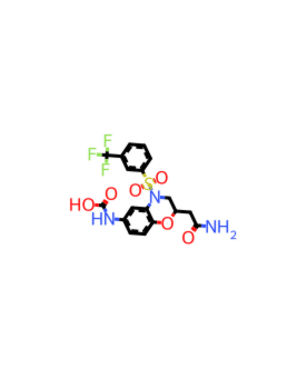 NC(=O)CC1CN(S(=O)(=O)c2cccc(C(F)(F)F)c2)c2cc(NC(=O)O)ccc2O1